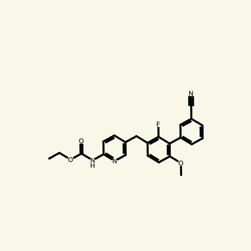 CCOC(=O)Nc1ccc(Cc2ccc(OC)c(-c3cccc(C#N)c3)c2F)cn1